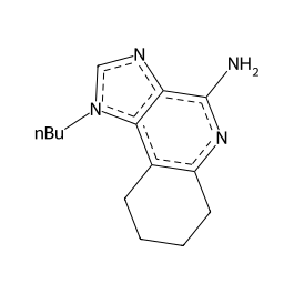 [CH2]CCCn1cnc2c(N)nc3c(c21)CCCC3